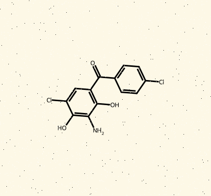 Nc1c(O)c(Cl)cc(C(=O)c2ccc(Cl)cc2)c1O